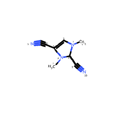 CN1C=C(C#N)N(C)C1C#N